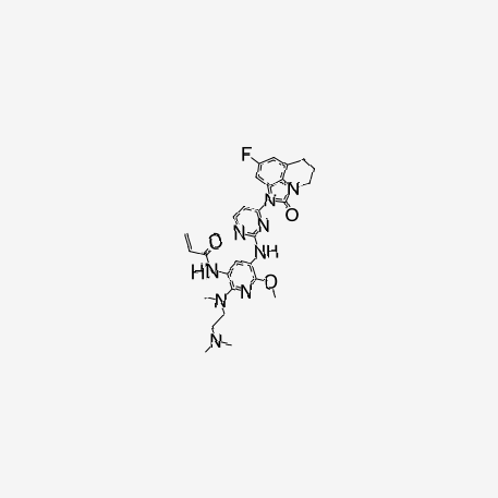 C=CC(=O)Nc1cc(Nc2nccc(-n3c(=O)n4c5c(cc(F)cc53)CCC4)n2)c(OC)nc1N(C)CCN(C)C